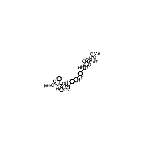 COC(=O)N[C@H](C(=O)N1CCC[C@H]1c1ncc(-c2ccc(-c3cc4ccc(-c5cnc([C@@H]6CCCN6C(=O)[C@H](NC(=O)OC)c6ccccc6)[nH]5)cc4cn3)c(F)c2)[nH]1)C(C)C